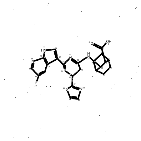 O=C(O)C1C2CCC(CC2)C1NC1=NC(c2c[nH]c3ncc(F)cc23)=NC(c2nccs2)C1